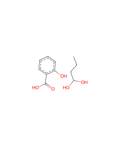 CCCC(O)O.O=C(O)c1ccccc1O